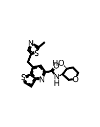 Cc1ncc(Cc2cc(C(=O)N[C@@H]3COCC[C@H]3O)nc3ccsc23)s1